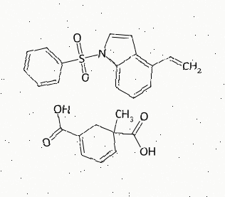 C=Cc1cccc2c1ccn2S(=O)(=O)c1ccccc1.CC1(C(=O)O)C=CC=C(C(=O)O)C1